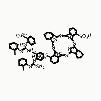 Cc1ccccc1N=C(N)Nc1ccccc1C.Cc1ccccc1N=C(N)Nc1ccccc1C.O=S(=O)(O)c1cccc2c1-c1nc3nc([n-]c4[n-]c(nc5nc(nc-2n1)-c1ccccc1-5)c1c(S(=O)(=O)O)cccc41)-c1ccccc1-3.[Cu+2]